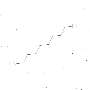 [NH]CCCCCCCCN